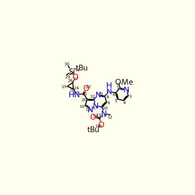 COc1ncccc1Nc1cc(N(C)C(=O)OC(C)(C)C)n2ncc(C(=O)N[C@H]3CC3O[Si](C)(C)C(C)(C)C)c2n1